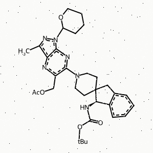 CC(=O)OCc1nc2c(C)nn(C3CCCCO3)c2nc1N1CCC2(CC1)Cc1ccccc1[C@H]2NC(=O)OC(C)(C)C